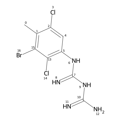 Cc1c(Cl)cc(NC(=N)NC(=N)N)c(Cl)c1Br